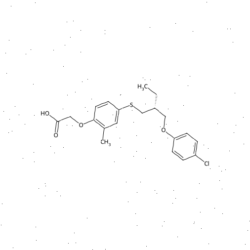 CC[C@H](COc1ccc(Cl)cc1)CSc1ccc(OCC(=O)O)c(C)c1